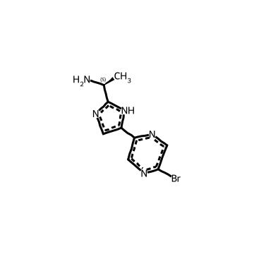 C[C@H](N)c1ncc(-c2cnc(Br)cn2)[nH]1